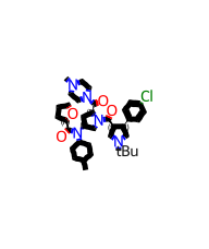 CC1CCC(N(C(=O)[C@H]2CCCO2)[C@H]2C[C@H](C(=O)N3CCN(C)CC3)N(C(=O)[C@@H]3CN(C(C)(C)C)C[C@H]3c3ccc(Cl)cc3)C2)CC1